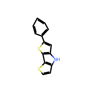 c1ccc(-c2cc3[nH]c4ccsc4c3s2)cc1